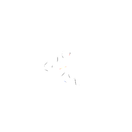 CN(Cc1cc(-c2ccccc2F)n(S(=O)(=O)c2cncc(/C=C/C(=O)O)c2)c1)C(=O)OC(C)(C)C